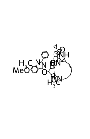 COc1ccc2c(O[C@@H]3C[C@H]4C(=O)N[C@]5(C(=O)NS(=O)(=O)C6CC6)CC5/C=C\CCCCN(C)C(=O)[C@@H]4C3)nc(-c3ccccc3)nc2c1C